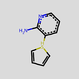 Nc1ncccc1[SH]1C=CC=C1